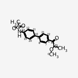 CON(C)C(=O)c1ccc(-c2ccc(NS(C)(=O)=O)cc2)cc1